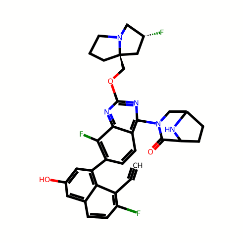 C#Cc1c(F)ccc2cc(O)cc(-c3ccc4c(N5CC6CCC(N6)C5=O)nc(OC[C@@]56CCCN5C[C@H](F)C6)nc4c3F)c12